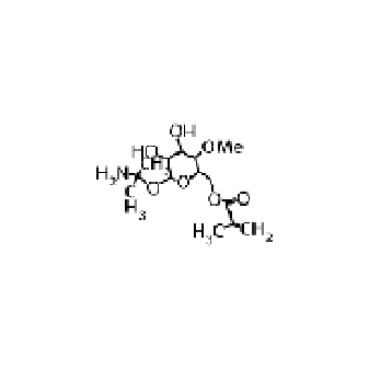 C=C(C)C(=O)OCC1OC(OC(C)(C)N)C(O)C(O)C1OC